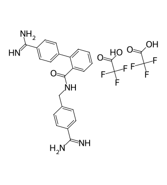 N=C(N)c1ccc(CNC(=O)c2ccccc2-c2ccc(C(=N)N)cc2)cc1.O=C(O)C(F)(F)F.O=C(O)C(F)(F)F